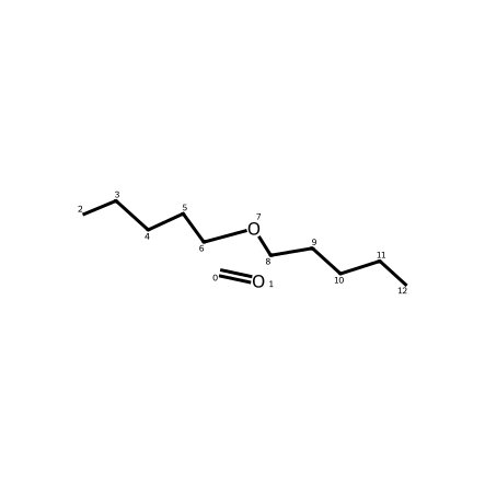 C=O.CCCCCOCCCCC